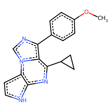 COc1ccc(-c2ncn3c2c(C2CC2)nc2[nH]ccc23)cc1